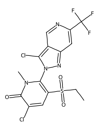 CCS(=O)(=O)c1cc(Cl)c(=O)n(C)c1-n1nc2cc(C(F)(F)F)ncc2c1Cl